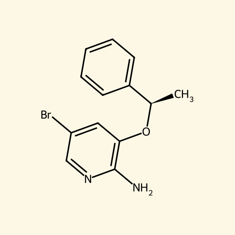 C[C@@H](Oc1cc(Br)cnc1N)c1ccccc1